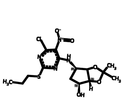 CCCSc1nc(Cl)c([N+](=O)[O-])c(N[C@@H]2C[C@H](O)[C@H]3OC(C)(C)OC23)n1